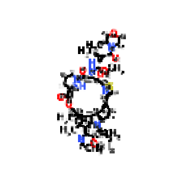 C=C/C(=C(\N=C/C)[C@H](C)OC)c1c2c3cc(ccc3n1CC)-c1csc(n1)[C@@H](OCC)[C@H](NC(=O)[C@@H]1[C@@H](C)[C@H]1C(=O)N1CCOC[C@@H]1C)C(=O)N1CCC[C@H](N1)C(=O)OCC(C)(C)C2